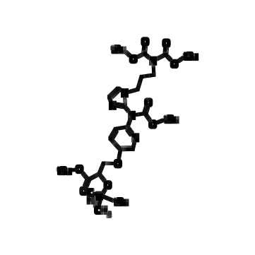 CC(C)(C)OC(=O)C(COc1ccc(N(C(=O)OC(C)(C)C)c2nccn2CCCN(C(=O)OC(C)(C)C)C(=O)OC(C)(C)C)nc1)O[Si](C)(C)C(C)(C)C